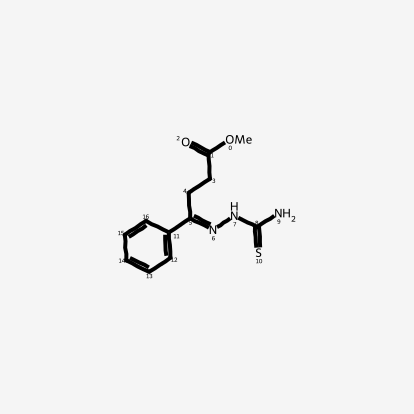 COC(=O)CC/C(=N\NC(N)=S)c1ccccc1